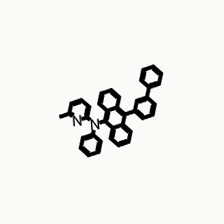 Cc1cccc(N(c2ccccc2)c2c3ccccc3c(-c3cccc(-c4ccccc4)c3)c3ccccc23)n1